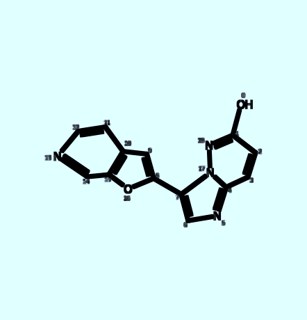 Oc1ccc2ncc(-c3cc4ccncc4o3)n2n1